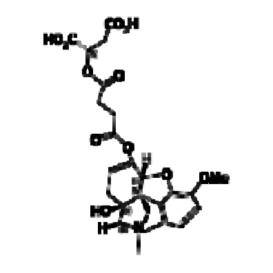 COc1ccc2c3c1O[C@H]1C(OC(=O)CCC(=O)O[C@@H](CC(=O)O)C(=O)O)=CC[C@@]4(O)[C@@H](C2)N(C)CC[C@]314